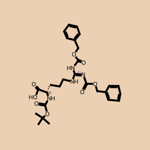 CC(C)(C)OC(=O)N[C@@H](CCCN/C(=N\C(=O)OCc1ccccc1)NC(=O)OCc1ccccc1)C(=O)O